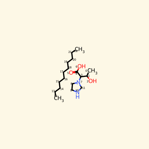 CC(O)C(C(=O)O)N1CCNC1.CCCCCCCCCCC